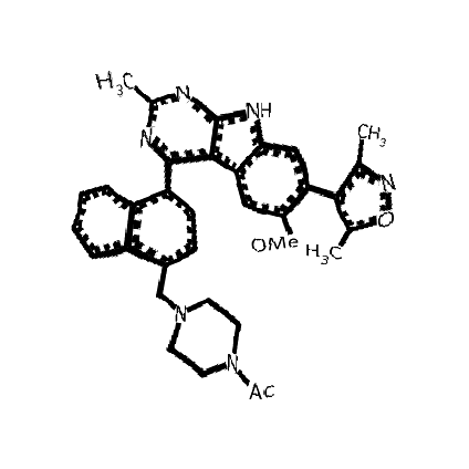 COc1cc2c(cc1-c1c(C)noc1C)[nH]c1nc(C)nc(-c3ccc(CN4CCN(C(C)=O)CC4)c4ccccc34)c12